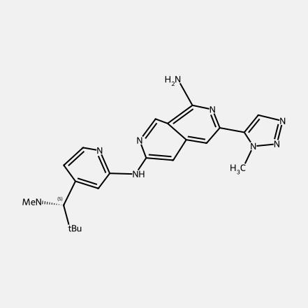 CN[C@H](c1ccnc(Nc2cc3cc(-c4cnnn4C)nc(N)c3cn2)c1)C(C)(C)C